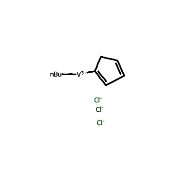 CCC[CH2][V+3][C]1=CC=CC1.[Cl-].[Cl-].[Cl-]